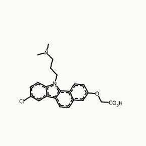 CN(C)CCCn1c2ccc(Cl)cc2c2ccc3cc(OCC(=O)O)ccc3c21